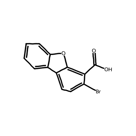 O=C(O)c1c(Br)ccc2c1oc1ccccc12